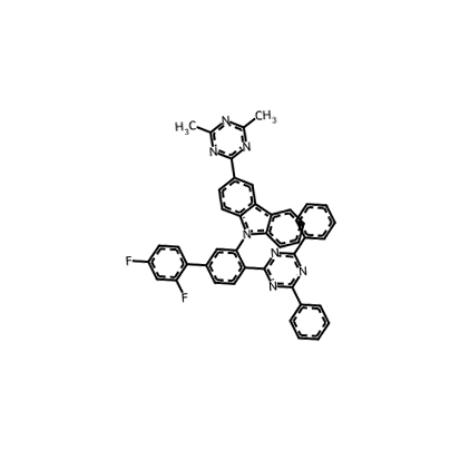 Cc1nc(C)nc(-c2ccc3c(c2)c2ccccc2n3-c2cc(-c3ccc(F)cc3F)ccc2-c2nc(-c3ccccc3)nc(-c3ccccc3)n2)n1